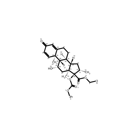 CC(C)OC(=O)O[C@]1(C(=O)OCCl)[C@@H](C)C[C@H]2[C@@H]3CCC4=CC(=O)C=C[C@]4(C)[C@@]3(F)[C@@H](O)C[C@@]21C